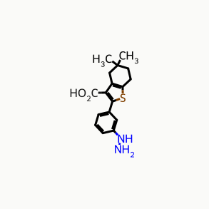 CC1(C)CCc2sc(-c3cccc(NN)c3)c(C(=O)O)c2C1